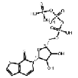 O=P(O)(O)OP(=O)(O)OP(=O)(O)OC[C@H]1O[C@@H](n2ccc3ccsc3c2=S)C(O)C1O